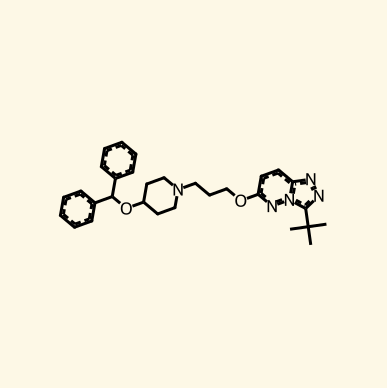 CC(C)(C)c1nnc2ccc(OCCCN3CCC(OC(c4ccccc4)c4ccccc4)CC3)nn12